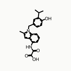 Cc1cc2c(NC(=O)C(=O)O)cccc2n1Cc1ccc(O)c(C(C)C)c1